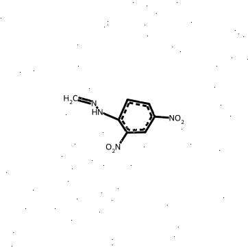 C=NNc1ccc([N+](=O)[O-])cc1[N+](=O)[O-]